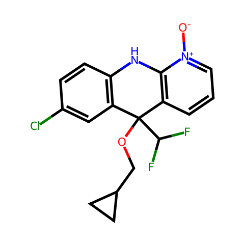 [O-][n+]1cccc2c1Nc1ccc(Cl)cc1C2(OCC1CC1)C(F)F